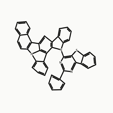 c1ccc(-c2nc(-n3c4ccccc4c4cc5c6c7ccccc7ccc6n6c7ccccc7c(c43)c56)c3sc4ccccc4c3n2)cc1